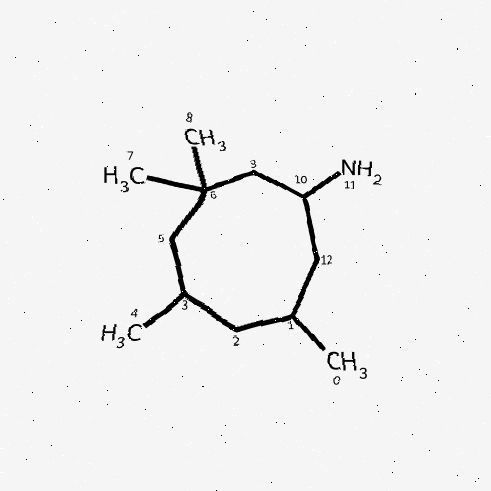 CC1CC(C)CC(C)(C)CC(N)C1